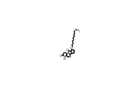 C/C=C1/NC(=O)CCC1N1C(=O)c2cccc(OCCCCCCCCCCN)c2C1=O